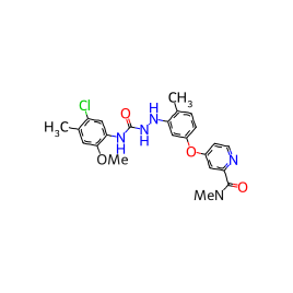 CNC(=O)c1cc(Oc2ccc(C)c(NNC(=O)Nc3cc(Cl)c(C)cc3OC)c2)ccn1